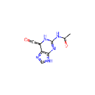 CC(=O)NC1=Nc2[nH]cnc2C(=C=O)N1